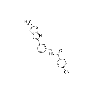 Cc1cn2cc(-c3cccc(CNC(=O)c4ccc(C#N)cc4)c3)nc2s1